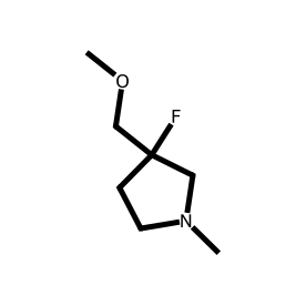 COCC1(F)CCN(C)C1